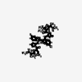 CCC(NC(=O)C(C)NC)C(=O)N1CCCC1Cn1c(-c2[nH]c3cc(Cl)ccc3c2CC2CC(F)CN2C(=O)C(NC(=O)C(C)NC)C(C)(C)C)nc2cc(F)ccc21